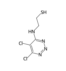 SCCNc1nnnc(Cl)c1Cl